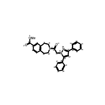 COC(=O)c1ccc2c(c1)CCN(C(=O)Cn1nc(-c3ccccc3)cc1-c1ccccc1)CC2